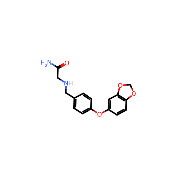 NC(=O)CNCc1ccc(Oc2ccc3c(c2)OCO3)cc1